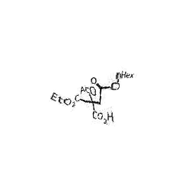 CCCCCCOC(=O)CC(CC(=O)OCC)(OC(C)=O)C(=O)O